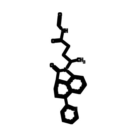 CC(CCC(=O)NC=O)N1C(=O)c2ccc(-c3ccccn3)c3cccc1c23